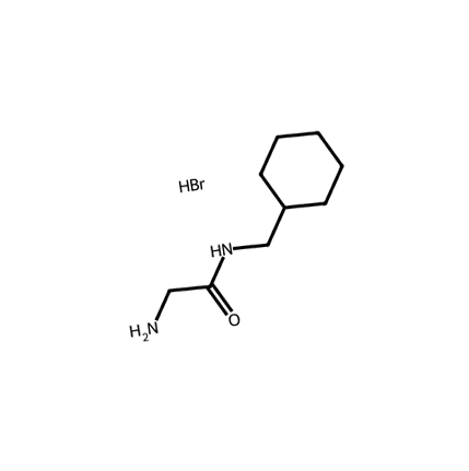 Br.NCC(=O)NCC1CCCCC1